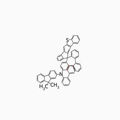 CC1(C)c2ccccc2-c2ccc(N(c3ccc4c(c3)-c3ccccc3-c3ccccc3C43c4ccccc4-c4cc5sc6ccccc6c5cc43)c3ccccc3-c3ccccc3)cc21